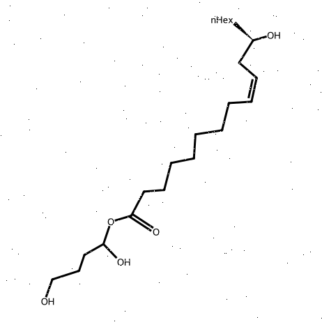 CCCCCC[C@@H](O)C/C=C\CCCCCCCC(=O)OC(O)CCCO